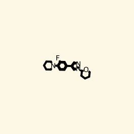 Fc1cc(-c2cnn(C3CCCCO3)c2)ccc1N1CCCCC1